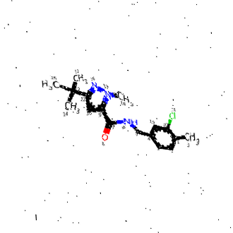 Cc1ccc(CNC(=O)c2cc(C(C)(C)C)nn2C)cc1Cl